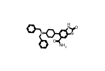 NC(=O)c1cc2c(cc1C1CCC(N(Cc3ccccc3)Cc3ccccc3)CC1)NC(=O)[N]2